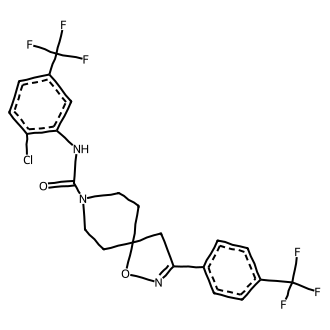 O=C(Nc1cc(C(F)(F)F)ccc1Cl)N1CCC2(CC1)CC(c1ccc(C(F)(F)F)cc1)=NO2